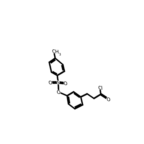 Cc1ccc(S(=O)(=O)Oc2cccc(CCC(=O)Cl)c2)cc1